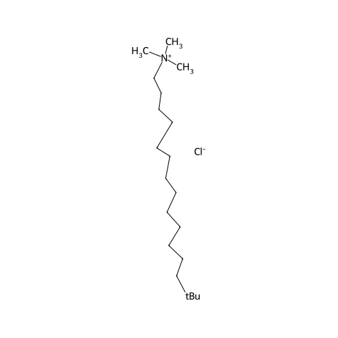 CC(C)(C)CCCCCCCCCCCCC[N+](C)(C)C.[Cl-]